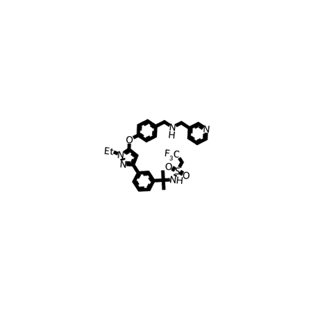 CCn1nc(-c2cccc(C(C)(C)NS(=O)(=O)CC(F)(F)F)c2)cc1Oc1ccc(CNCc2cccnc2)cc1